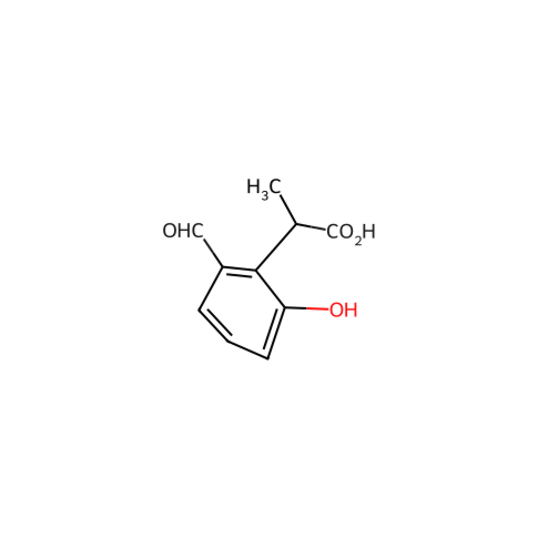 CC(C(=O)O)c1c(O)cccc1C=O